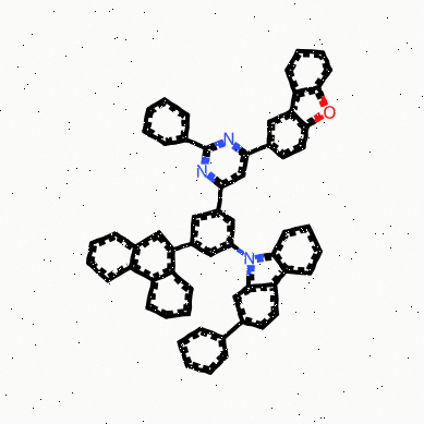 c1ccc(-c2ccc3c4ccccc4n(-c4cc(-c5cc(-c6ccc7oc8ccccc8c7c6)nc(-c6ccccc6)n5)cc(-c5cc6ccccc6c6ccccc56)c4)c3c2)cc1